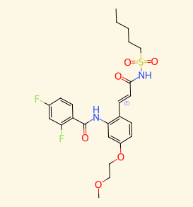 CCCCCS(=O)(=O)NC(=O)/C=C/c1ccc(OCCOC)cc1NC(=O)c1ccc(F)cc1F